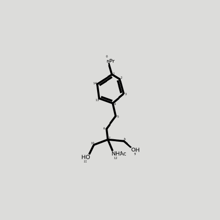 CCCc1ccc(CCC(CO)(CO)NC(C)=O)cc1